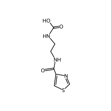 O=C(O)NCCNC(=O)c1cscn1